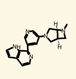 CN1C[C@H]2CN(c3cncc(-c4nccc5cc[nH]c45)c3)C[C@H]21